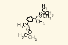 CC(C)OOCC(C)c1cccc(C(C)COOC(C)(C)C)c1